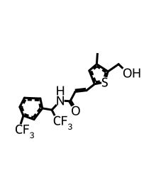 Cc1cc(C=CC(=O)NC(c2cccc(C(F)(F)F)c2)C(F)(F)F)sc1CO